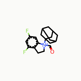 O=C[N+]1(C23CC4CC(CC(C4)C2)C3)CCc2c(F)cc(F)cc21